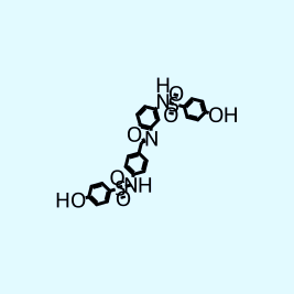 O=S(=O)(Nc1ccc(-c2nc3cc(NS(=O)(=O)c4ccc(O)cc4)ccc3o2)cc1)c1ccc(O)cc1